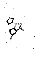 O=[N+]([O-])c1cc(Br)ccc1N[C@@H]1CCOC1